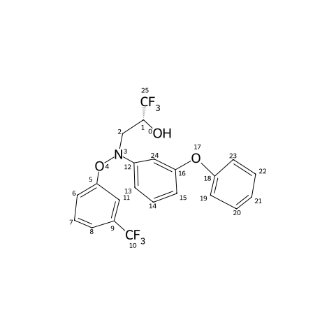 O[C@H](CN(Oc1cccc(C(F)(F)F)c1)c1cccc(Oc2ccccc2)c1)C(F)(F)F